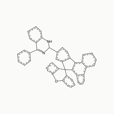 c1ccc(C2=NC(c3ccc4c(c3)C3(c5ccccc5Oc5ccccc53)c3c-4c4ccccc4c4ccccc34)Nc3ccccc32)cc1